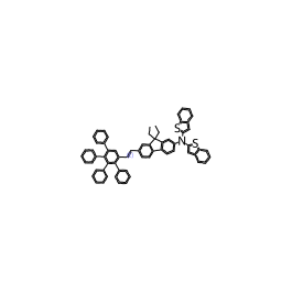 CCC1(CC)c2cc(/C=C/c3cc(-c4ccccc4)c(-c4ccccc4)c(-c4ccccc4)c3-c3ccccc3)ccc2-c2ccc(N(c3cc4ccccc4s3)c3cc4ccccc4s3)cc21